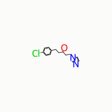 O=C(CCc1ccc(Cl)cc1)CCn1ccnc1